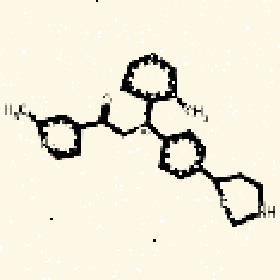 Cc1cc(C(=O)C[C@H](c2ccc(C3CCNCC3)cc2)c2ccccc2C)ccn1